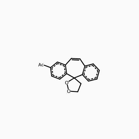 CC(=O)c1ccc2c(c1)C=Cc1ccccc1C21CCOO1